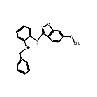 COc1ccc2c(Nc3ccccc3NCc3ccccc3)noc2c1